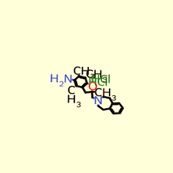 Cc1c(C)c2c(c(C)c1N)CC(C)(CN1CCc3ccccc3CC1)O2.Cl.Cl